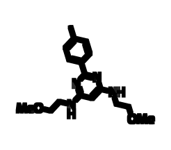 COCCNc1cc(NCCOC)nc(-c2ccc(C)cc2)n1